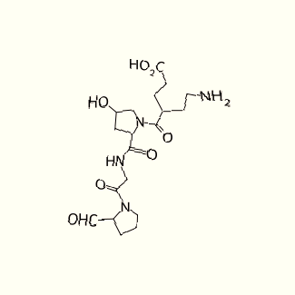 NCCC(CCC(=O)O)C(=O)N1CC(O)CC1C(=O)NCC(=O)N1CCCC1C=O